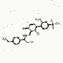 C=Cc1ccc(C(CC(C)C)N/C=C2\C(=N)C=CC(c3ccc(C(C)(F)F)cc3N)=C2Cl)cc1